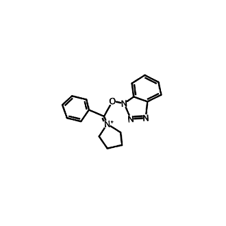 c1ccc(C(On2nnc3ccccc32)=[N+]2CCCC2)cc1